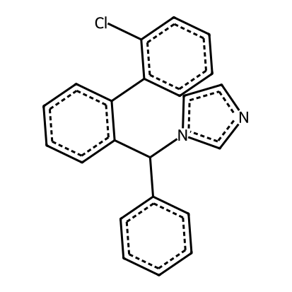 Clc1ccccc1-c1ccccc1C(c1ccccc1)n1ccnc1